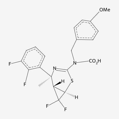 COc1ccc(CN(C(=O)O)C2=N[C@](C)(c3cccc(F)c3F)[C@@H]3[C@@H](S2)C3(F)F)cc1